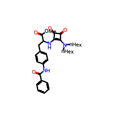 CCCCCCN(CCCCCC)c1c(NC(Cc2ccc(NC(=O)c3ccccc3)cc2)C(=O)OC)c(=O)c1=O